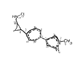 Cn1cc(-c2ccc(C3CC3NCl)cc2)cn1